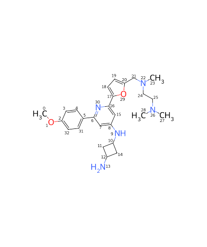 COc1ccc(-c2cc(NC3CC(N)C3)cc(-c3ccc(CN(C)CCN(C)C)o3)n2)cc1